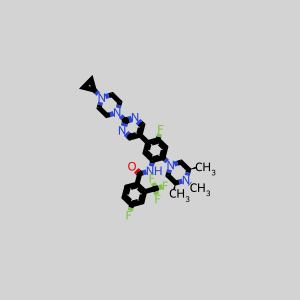 C[C@@H]1CN(c2cc(F)c(-c3cnc(N4CCN(C5CC5)CC4)nc3)cc2NC(=O)c2ccc(F)cc2C(F)(F)F)C[C@H](C)N1C